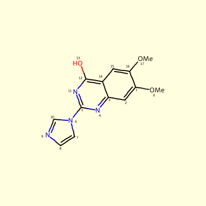 COc1cc2nc(-n3ccnc3)nc(O)c2cc1OC